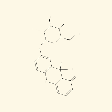 CC1(C)c2cc(O[C@@H]3O[C@H](CO)[C@H](O)[C@H](O)[C@H]3O)ccc2NC2=CC=CC(=O)C21